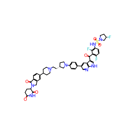 O=C1CCC(N2Cc3cc(C4CCN(CC[C@@H]5CCN(c6ccc(-c7cnc8[nH]cc(C(=O)c9c(F)ccc(NS(=O)(=O)N%10CC[C@@H](F)C%10)c9F)c8c7)cc6)C5)CC4)ccc3C2=O)C(=O)N1